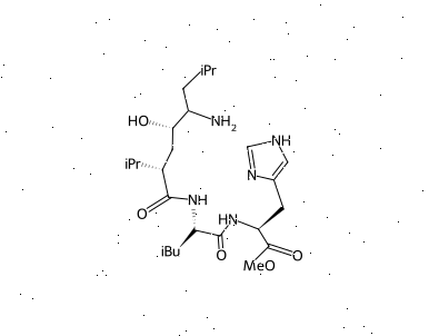 CC[C@H](C)[C@H](NC(=O)[C@@H](C[C@H](O)C(N)CC(C)C)C(C)C)C(=O)N[C@@H](Cc1c[nH]cn1)C(=O)OC